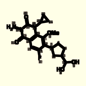 COc1c(N2CCC(C(O)O)C2)c(F)cc2c(=O)n(N)c(=O)n(C3CC3)c12